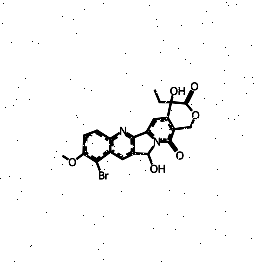 CCC1(O)C(=O)OCc2c1cc1n(c2=O)C(O)c2cc3c(Br)c(OC)ccc3nc2-1